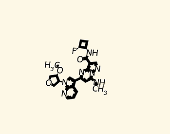 CNc1cc(-c2cn([C@H]3COC[C@@H]3OC)c3ncccc23)nc2c(C(=O)N[C@H]3CC[C@H]3F)cnn12